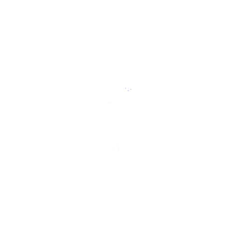 CCCC(C)C1=CCN(C)CC1